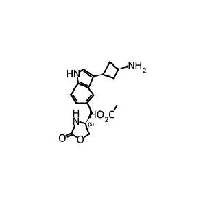 CC(=O)O.N[C@H]1C[C@@H](c2c[nH]c3ccc(C[C@H]4COC(=O)N4)cc32)C1